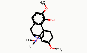 COC1=CC2(OC)C3Cc4ccc(OC)c(O)c4C2(CC1)CCN3C